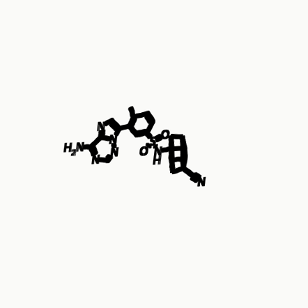 Cc1ccc(S(=O)(=O)NC23C4C5C2C2C3C4C52C#N)cc1-c1cnc2c(N)ncnn12